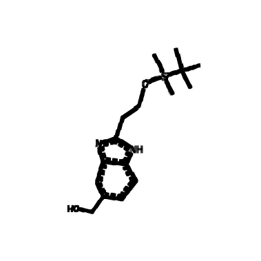 CC(C)(C)[Si](C)(C)OCCc1nc2cc(CO)ccc2[nH]1